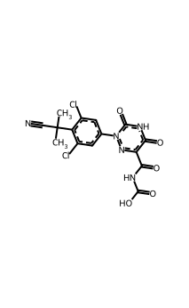 CC(C)(C#N)c1c(Cl)cc(-n2nc(C(=O)NC(=O)O)c(=O)[nH]c2=O)cc1Cl